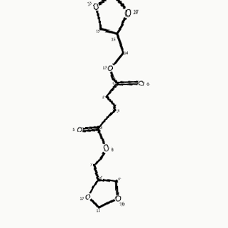 O=C(CCC(=O)OCC1COCO1)OCC1COCO1